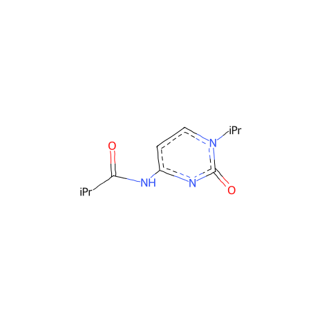 CC(C)C(=O)Nc1ccn(C(C)C)c(=O)n1